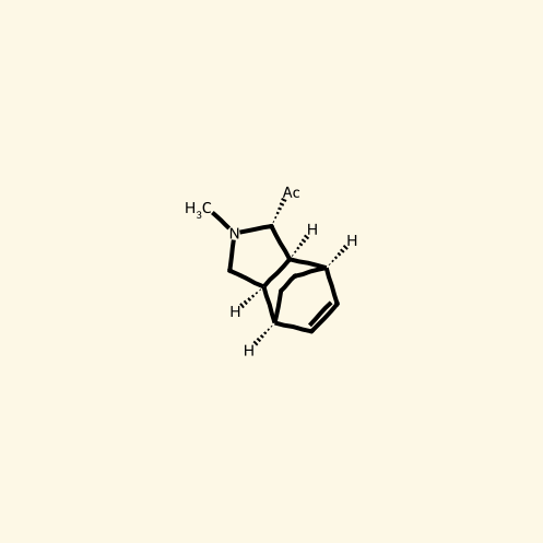 CC(=O)[C@@H]1[C@@H]2[C@H](CN1C)[C@@H]1C=C[C@H]2CC1